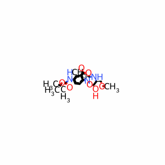 COC[C@H](Nc1nc2ccc(NC(=O)OC(C)(C)C)c(C)c2c(=O)o1)C(=O)O